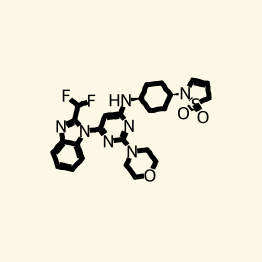 O=S1(=O)CC=CN1[C@H]1CC[C@H](Nc2cc(-n3c(C(F)F)nc4ccccc43)nc(N3CCOCC3)n2)CC1